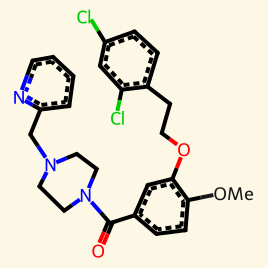 COc1ccc(C(=O)N2CCN(Cc3ccccn3)CC2)cc1OCCc1ccc(Cl)cc1Cl